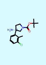 Cc1c(Cl)cccc1[C@@]1(N)CCN(C(=O)OC(C)(C)C)C1